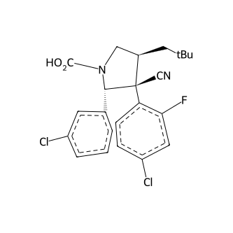 CC(C)(C)C[C@@H]1CN(C(=O)O)[C@@H](c2cccc(Cl)c2)[C@@]1(C#N)c1ccc(Cl)cc1F